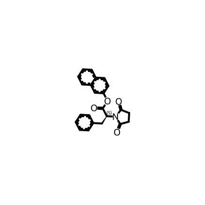 O=C(Oc1ccc2ccccc2c1)[C@H](Cc1ccccc1)N1C(=O)CCC1=O